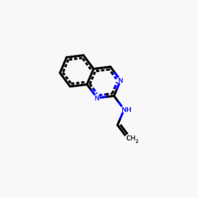 C=CNc1ncc2ccccc2n1